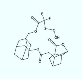 O=C(CC1C2CC3C(=O)OC1C3C2)OC12CC3CC(CC(COC(=O)C(F)(F)SOO)(C3)C1)C2